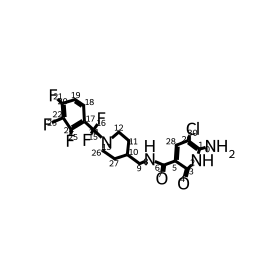 Nc1[nH]c(=O)c(C(=O)NCC2CCN(C(F)(F)c3ccc(F)c(F)c3F)CC2)cc1Cl